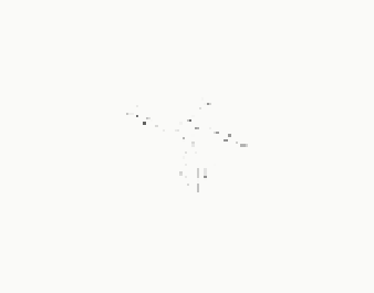 CCNCCCOC1C(OCCCNC(C)C)CC(CNC(C)C)C(OCCCNC(C)C)C1OCCCNC(C)S